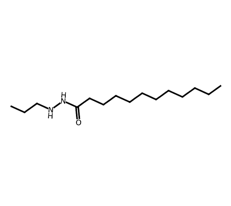 CCCCCCCCCCCC(=O)NNCCC